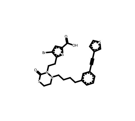 O=C(O)c1cc(Br)c(CCN2C(=O)SCCN2CCCCc2cccc(C#Cc3ccsc3)c2)s1